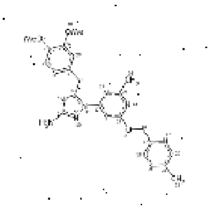 COc1ccc(Cc2nc(N)nn2-c2cc(OCc3ccc(C)cn3)nc(C)n2)cc1OC